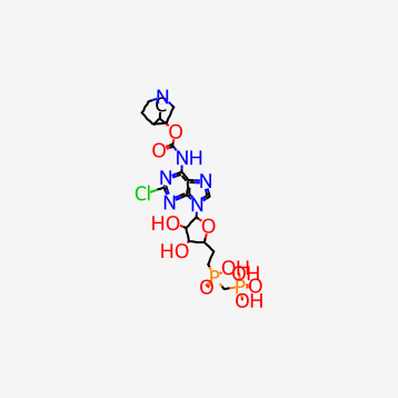 O=C(Nc1nc(Cl)nc2c1ncn2C1OC(CCP(=O)(O)CP(=O)(O)O)C(O)C1O)OC1CN2CCC1CC2